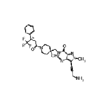 Cn1nc2c(=O)n(CC3(O)CCN(C(=O)C[C@H](c4ccccc4)C(F)(F)F)CC3)cnc2c1C#CCN